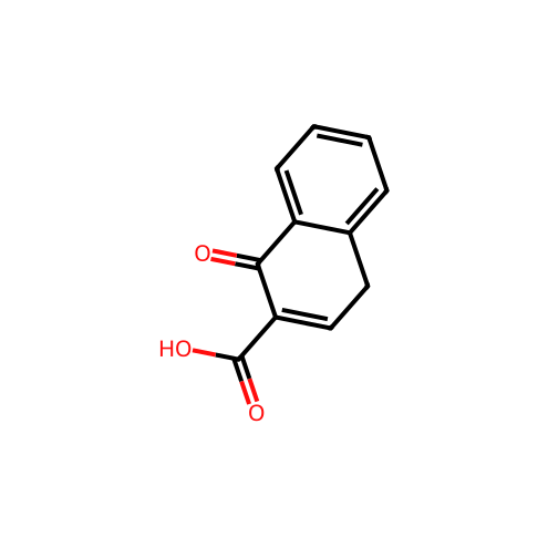 O=C(O)C1=CCc2ccccc2C1=O